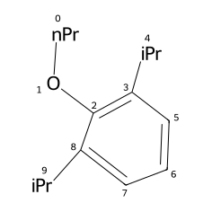 CCCOc1c(C(C)C)cccc1C(C)C